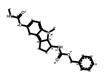 CNC(=O)OC1=CC=C2C(=C3CCC(NC(=O)OCc4ccccc4)C3N2C)C1